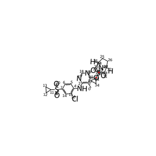 Cc1c(Nc2ccc(S(=O)(=O)C3CC3)cc2Cl)ncnc1OC1C[C@@H]2CC[C@@H](C1)N2S(=O)(=O)C1CC1